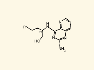 CC(C)CC[C@H](CO)Nc1nc(N)nc2cccnc12